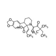 CC=CC1(C(=O)O)C(c2ccc3c(c2)OCO3)CCCN1C(=O)C(=O)C(C)(C)CC